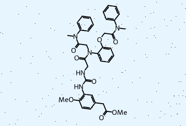 COC(=O)Cc1ccc(OC)c(NC(=O)NCC(=O)N(CC(=O)N(C)c2ccccc2)c2ccccc2OCC(=O)N(C)c2ccccc2)c1